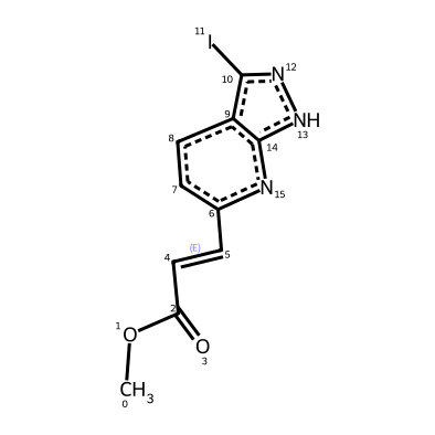 COC(=O)/C=C/c1ccc2c(I)n[nH]c2n1